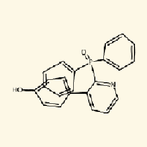 O=P(c1ccccc1)(c1ccccc1)c1ncccc1-c1ccc(O)cc1